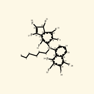 CCCCCCN(c1c(F)c(F)c2c(c1F)C(F)=C(F)C2F)c1cccc2c(F)c(F)c(F)c(F)c12